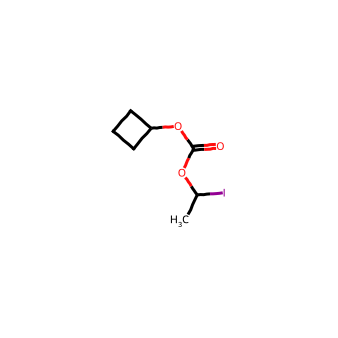 CC(I)OC(=O)OC1CCC1